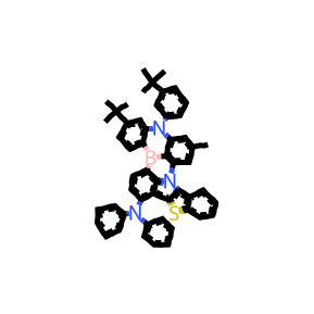 Cc1cc2c3c(c1)-n1c4c(ccc(N(c5ccccc5)c5ccccc5)c4c4sc5ccccc5c41)B3c1ccc(C(C)(C)C)cc1N2c1cccc(C(C)(C)C)c1